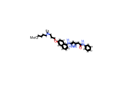 CCN(CCCCOC)CCCOc1ccc2c(Nc3cc(CC(=O)Nc4ccccc4)n[nH]3)cccc2c1